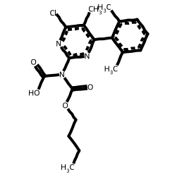 CCCCOC(=O)N(C(=O)O)c1nc(Cl)c(C)c(-c2c(C)cccc2C)n1